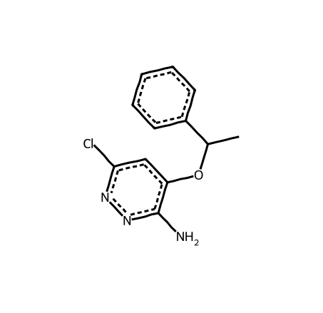 CC(Oc1cc(Cl)nnc1N)c1ccccc1